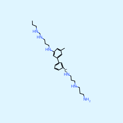 CCCNCNCCCNc1cc(C)cc(-c2cccc(CNCCCNCCCN)c2)c1